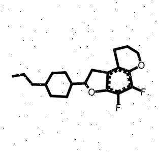 CCCC1CCC(C2Cc3c4c(c(F)c(F)c3O2)OCCC4)CC1